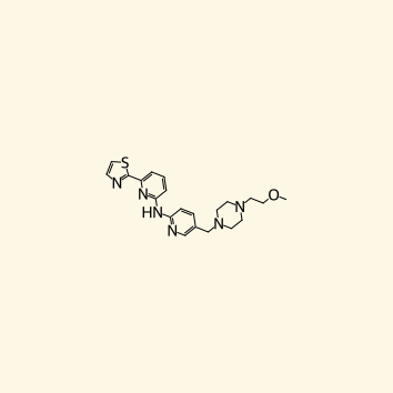 COCCN1CCN(Cc2ccc(Nc3cccc(-c4nccs4)n3)nc2)CC1